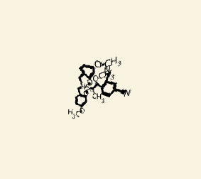 COc1ccc(CN(Cc2ccc(OC)cc2)S(=O)(=O)[C@@H](C)[C@@H](OC)c2ccc(C#N)cc2C#N)cc1